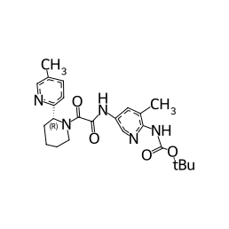 Cc1ccc([C@H]2CCCCN2C(=O)C(=O)Nc2cnc(NC(=O)OC(C)(C)C)c(C)c2)nc1